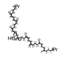 CC(C)CCCC(C)CCCC(C)CCCC(C)CCCC(C)CCOC(CO)COCCC(C)CCCC(C)CCCC(C)CCCC(C)C